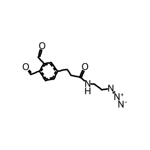 [N-]=[N+]=NCCNC(=O)CCc1ccc(C=O)c(C=O)c1